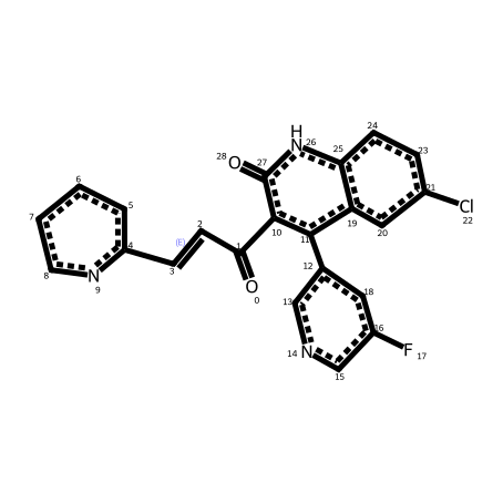 O=C(/C=C/c1ccccn1)c1c(-c2cncc(F)c2)c2cc(Cl)ccc2[nH]c1=O